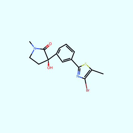 Cc1sc(-c2cccc([C@]3(O)CCN(C)C3=O)c2)nc1Br